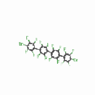 Fc1c(F)c(-c2c(F)c(F)c(-c3c(F)c(F)c(-c4c(F)c(F)c(Br)c(F)c4F)c(F)c3F)c(F)c2F)c(F)c(F)c1Br